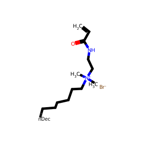 C=CC(=O)NCC[N+](C)(C)CCCCCCCCCCCCCCCC.[Br-]